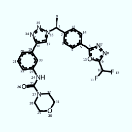 C[C@@H](c1ccc(-c2nnc(C(F)F)o2)cc1)n1cc(-c2cccc(NC(=O)N3CCOCC3)c2)nn1